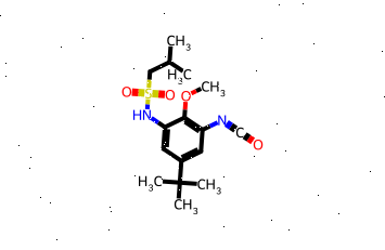 COc1c(N=C=O)cc(C(C)(C)C)cc1NS(=O)(=O)CC(C)C